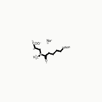 CCCCCCCCCCCCCC(=O)N(C)CCC(=O)[O-].[Na+]